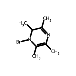 CC1=NC(C)=C(C)N(Br)C1C